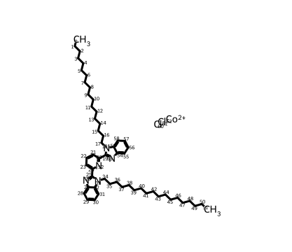 CCCCCCCCCCCCCCCCCCn1c(-c2cccc(-c3nc4ccccc4n3CCCCCCCCCCCCCCCCCC)n2)nc2ccccc21.[Cl-].[Cl-].[Co+2]